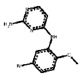 COc1ccc(Br)cc1Nc1ccnc(N)n1